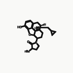 CCCCC1CCN(C2CC[C@@]3(O)[C@H]4Cc5ccc(O)c6c5[C@@]3(CCN4CC3CC3)C2O6)C1=O